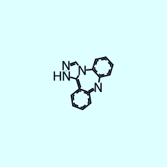 C1=NNC2=c3ccccc3=Nc3ccccc3N12